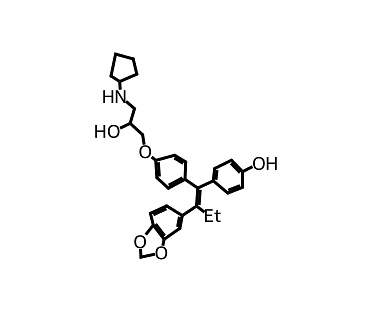 CCC(=C(c1ccc(O)cc1)c1ccc(OCC(O)CNC2CCCC2)cc1)c1ccc2c(c1)OCO2